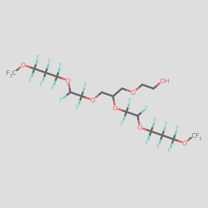 OCCOCC(COC(F)(F)C(F)OC(F)(F)C(F)(F)C(F)(F)OC(F)(F)F)OC(F)(F)C(F)OC(F)(F)C(F)(F)C(F)(F)OC(F)(F)F